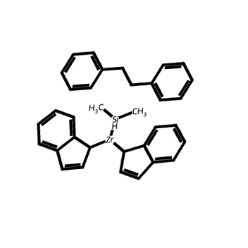 C[SiH](C)[Zr]([CH]1C=Cc2ccccc21)[CH]1C=Cc2ccccc21.c1ccc(CCc2ccccc2)cc1